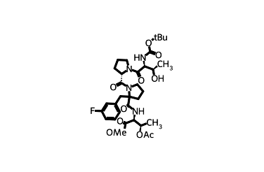 COC(=O)[C@@H](NC(=O)C1(Cc2cccc(F)c2)CCCN1C(=O)[C@@H]1CCCN1C(=O)[C@@H](NC(=O)OC(C)(C)C)[C@@H](C)O)[C@@H](C)OC(C)=O